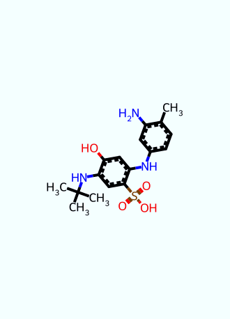 Cc1ccc(Nc2cc(O)c(NC(C)(C)C)cc2S(=O)(=O)O)cc1N